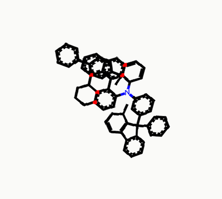 CC1CC=CC2=C1C(c1ccccc1)(c1cccc(N(c3ccccc3-c3cccc4cccc(C5CCCCC5)c34)C3C=CC=CC3(C)c3ccc(-c4ccccc4)cc3)c1)c1ccccc12